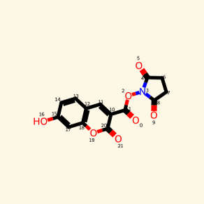 O=C(ON1C(=O)CCC1=O)c1cc2ccc(O)cc2oc1=O